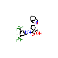 CC(C)(O)[C@]1(C(=O)NCc2cc(C(F)(F)F)cc(C(F)(F)F)c2)CC[C@@H](NC2C3CCCC2COC3)C1